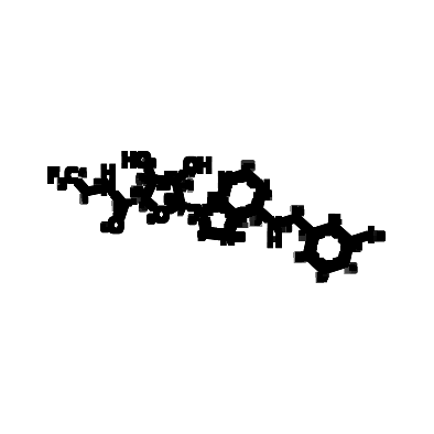 O=C(NCC(F)(F)F)[C@H]1O[C@@H](n2cnc3c(NCc4cccc(I)c4)ncnc32)[C@H](O)[C@@H]1O